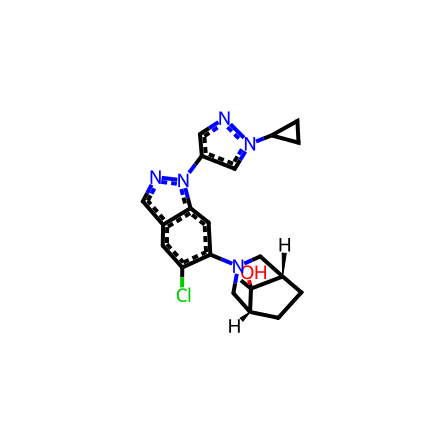 CC1(O)[C@@H]2CC[C@H]1CN(c1cc3c(cnn3-c3cnn(C4CC4)c3)cc1Cl)C2